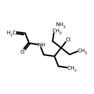 C=CC(=O)NCC(CC)C(Cl)(CC)CC.N